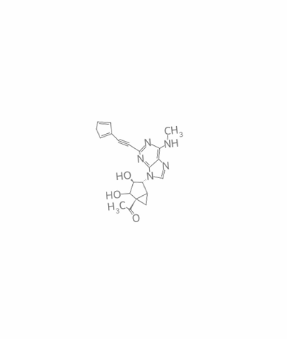 CNc1nc(C#CC2=CCC=C2)nc2c1ncn2[C@@H]1C2C[C@]2(C(C)=O)C(O)[C@H]1O